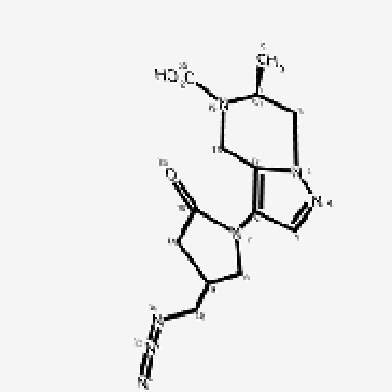 C[C@H]1Cn2ncc(N3CC(CN=[N+]=[N-])CC3=O)c2CN1C(=O)O